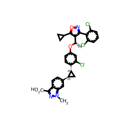 [2H]C(Oc1ccc([C@@H]2C[C@H]2c2ccc3c(C(=O)O)nn(C)c3c2)c(Cl)c1)c1c(-c2c(Cl)cccc2Cl)noc1C1CC1